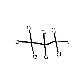 [S]C(Cl)(Cl)C(Cl)(Cl)C(Cl)(Cl)Cl